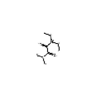 CCN(CC)C(=O)C(=O)N(C)C